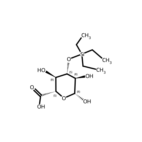 CC[Si](CC)(CC)O[C@@H]1[C@@H](O)[C@H](O)O[C@H](C(=O)O)[C@H]1O